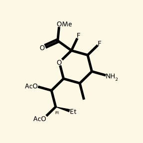 CC[C@@H](OC(C)=O)C(OC(C)=O)C1OC(F)(C(=O)OC)C(F)C(N)C1C